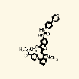 CN(C)C(=O)C1CCN(c2ccnc3c2c(/C=C2\Oc4ccc(NC(=O)Nc5ccc(N6CCOCC6)cc5)cc4C2=O)cn3C)CC1